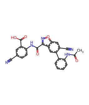 CC(=O)Nc1ccccc1-c1cc2c(C(=O)Nc3ccc(C#N)cc3C(=O)O)noc2cc1C#N